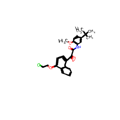 COc1ccc(C(C)(C)C)cc1NC(=O)C(=O)c1ccc(OCCCl)c2ccccc12